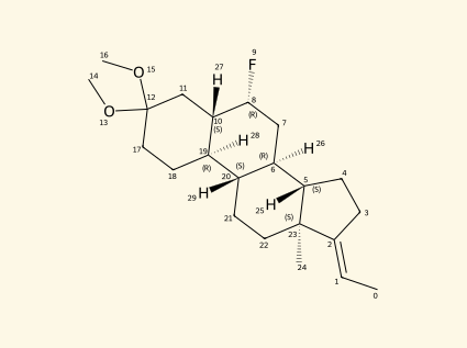 CC=C1CC[C@H]2[C@@H]3C[C@@H](F)[C@H]4CC(OC)(OC)CC[C@@H]4[C@H]3CC[C@]12C